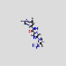 Cc1cn2cc(NC(=O)c3cnc(N4CCC(C)(N)C4)cn3)cc(C)c2n1